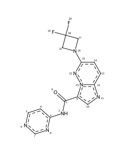 O=C(Nc1ccncn1)c1cnc2ccc(N3CC(F)(F)C3)nn12